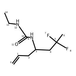 C=CCC(CC(C)(F)F)NC(=O)NCC